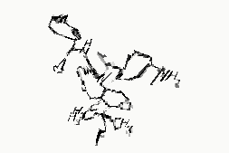 CC(C)(F)[C@H]1OC[C@]2(c3cc(N)ccc3F)N=C(NC(=O)c3ccccc3)SC[C@]12C